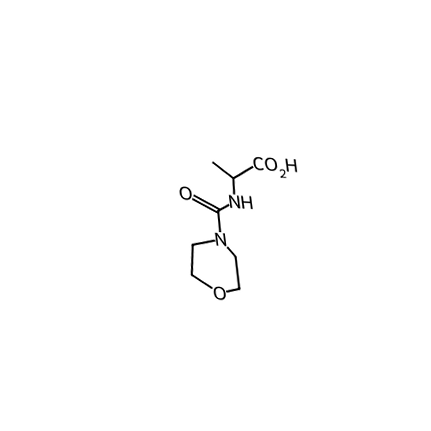 CC(NC(=O)N1CCOCC1)C(=O)O